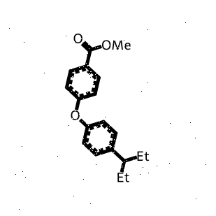 CCC(CC)c1ccc(Oc2ccc(C(=O)OC)cc2)cc1